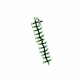 C[Si](Cl)(Cl)C(F)(F)C(F)(F)C(F)(F)C(F)(F)C(F)(F)C(F)(F)C(F)(F)C(F)(F)C(F)(F)C(F)(F)C(F)(F)C(F)(F)F